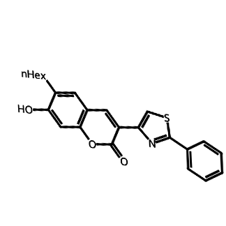 CCCCCCc1cc2cc(-c3csc(-c4ccccc4)n3)c(=O)oc2cc1O